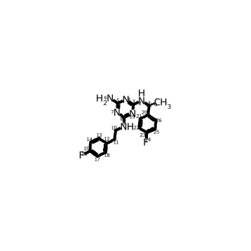 C[C@H](Nc1nc(N)nc(NCCc2ccc(F)cc2)n1)c1ccc(F)cc1